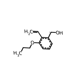 C=Cc1c([CH]O)cccc1OCCC